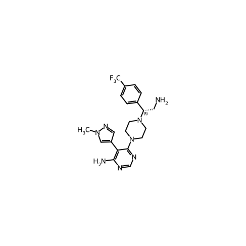 Cn1cc(-c2c(N)ncnc2N2CCN([C@@H](CN)c3ccc(C(F)(F)F)cc3)CC2)cn1